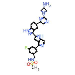 CS(=O)(=O)NCc1cc(F)cc(-c2nccc3[nH]c(-c4n[nH]c5ccc(-c6cncc(N7CC(N)C7)n6)cc45)cc23)c1